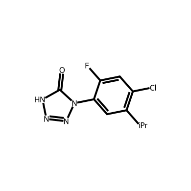 CC(C)c1cc(-n2nn[nH]c2=O)c(F)cc1Cl